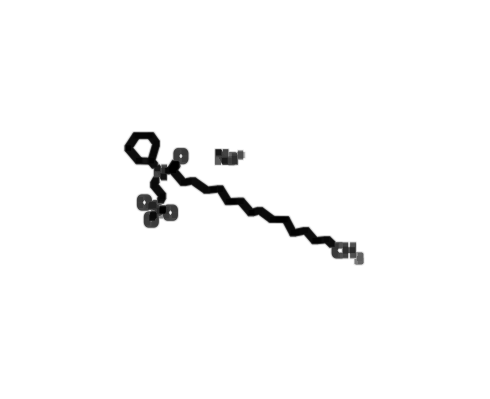 CCCCCCCCCCCCCCCC(=O)N(CCS(=O)(=O)[O-])C1CCCCC1.[Na+]